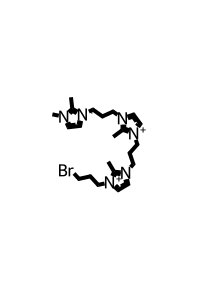 Cc1n(C)cc[n+]1CCCn1cc[n+](CCCn2cc[n+](CCCBr)c2C)c1C